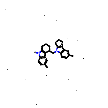 Cc1ccc2c(c1)c1c(n2C)CCCC1Cn1c2c(c3cc(C)ccc31)CCC2